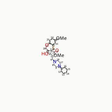 COC(=O)C1(CCCN2CCN(c3ccccc3)CC2)Sc2cc(OC)ccc2OCC1O